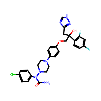 NC(=O)N(c1ccc(Cl)cc1)N1CCN(c2ccc(OCC(O)(Cc3nc[nH]n3)c3ccc(F)cc3F)cc2)CC1